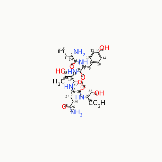 CC(C)C[C@H](N)C(=O)N[C@@H](Cc1ccc(O)cc1)C(=O)N[C@H](C(=O)N[C@@H](CCC(N)=O)C(=O)N[C@@H](CO)C(=O)O)[C@@H](C)O